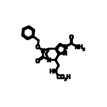 NC(=O)n1cc2c(n1)C(CNC(=O)O)N1CC2N(OCc2ccccc2)C1=O